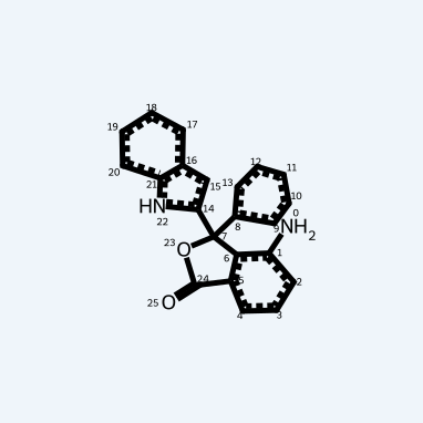 Nc1cccc2c1C(c1ccccc1)(c1cc3ccccc3[nH]1)OC2=O